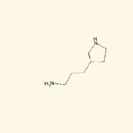 NCCCC1CCNC1